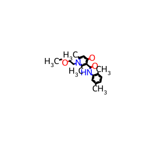 CCOCCn1c(C)cc(=O)c(C(=O)Nc2cc(C)ccc2C)c1C